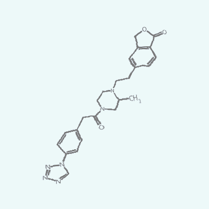 CC1CN(C(=O)Cc2ccc(-n3cnnn3)cc2)CCN1CCc1ccc2c(c1)COC2=O